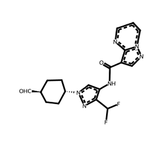 O=C[C@H]1CC[C@H](n2cc(NC(=O)c3cnn4cccnc34)c(C(F)F)n2)CC1